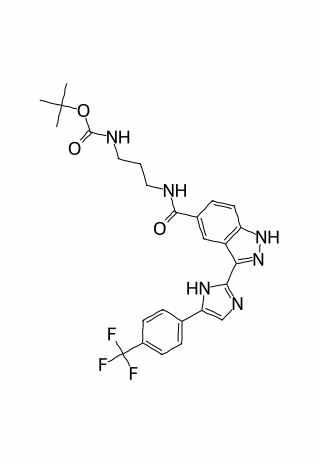 CC(C)(C)OC(=O)NCCCNC(=O)c1ccc2[nH]nc(-c3ncc(-c4ccc(C(F)(F)F)cc4)[nH]3)c2c1